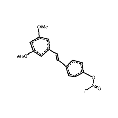 COc1cc(/C=C/c2ccc(OS(=O)F)cc2)cc(OC)c1